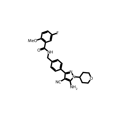 COc1ccc(F)cc1C(=O)NCc1ccc(-c2nn(C3CCOCC3)c(N)c2C#N)cc1